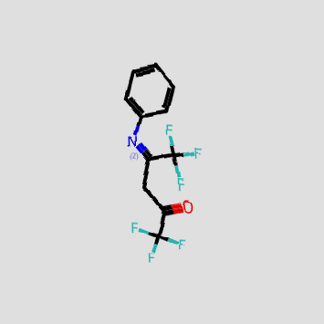 O=C(C/C(=N/c1ccccc1)C(F)(F)F)C(F)(F)F